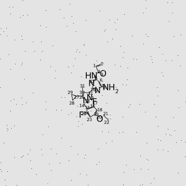 C=CC(=O)Nc1cc(N)nc(-c2nn(Cc3c(F)cc(OCC)cc3F)c(C3CC3)c2C)n1